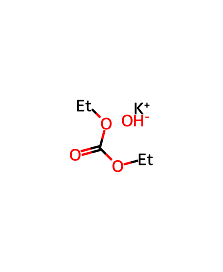 CCOC(=O)OCC.[K+].[OH-]